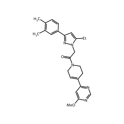 CCc1cc(-c2ccc(C)c(C)c2)nn1CC(=O)N1CC=C(c2cc(OC)ncn2)CC1